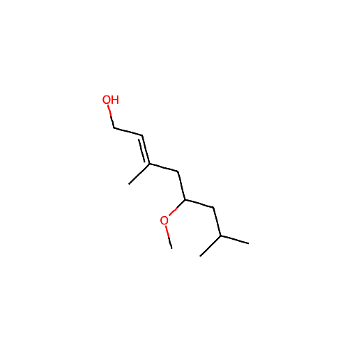 COC(C/C(C)=C/CO)CC(C)C